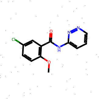 COc1ccc(Cl)cc1C(=O)Nc1cccnn1